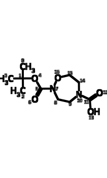 CC(C)(C)OC(=O)N1CCN(C(=O)O)CCO1